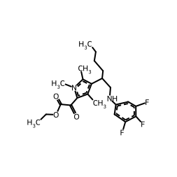 CCCCC(CNc1cc(F)c(F)c(F)c1)c1c(C)c(C(=O)C(=O)OCC)n(C)c1C